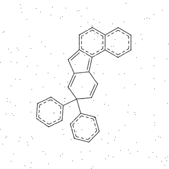 [c]1cc2c(c3ccccc13)=C1C=CC(c3ccccc3)(c3ccccc3)C=C1C=2